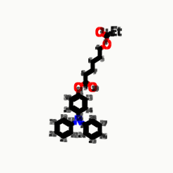 CCC(=O)OCCCCCC(=O)Oc1ccc(N(c2ccccc2)c2ccccc2)cc1